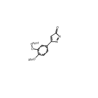 CCCCCOc1cc(C2=CC(=O)N=N2)ccc1OC